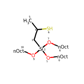 CCCCCCCCO[Si](CC(C)S)(OCCCCCCCC)OCCCCCCCC